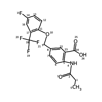 CCC(=O)Nc1ccc(COc2ccc(F)cc2C(F)(F)F)cc1C(=O)O